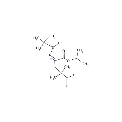 CC(C)OC(=O)/C(CC(C)(C)C(F)F)=N\[S+]([O-])C(C)(C)C